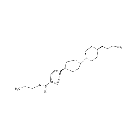 CCCC[C@H]1CC[C@H]([C@H]2CC[C@H](c3ccc(C(=O)OCCC)cc3)CC2)CC1